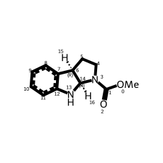 COC(=O)N1CC[C@@H]2c3ccccc3N[C@@H]21